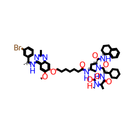 COc1cc2c(N[C@H](C)c3cccc(Br)c3)nc(C)nc2cc1OCCCCCCC(=O)N[C@H]1C[C@@H](C(=O)N[C@@H]2CCCc3ccccc32)N(C(=O)[C@@H](NC(=O)C(C)N(C)C(=O)O)C2CCCCC2)C1